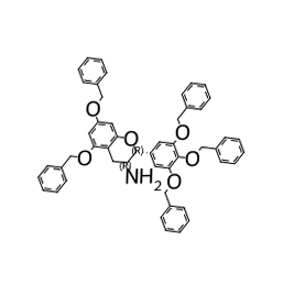 N[C@@H]1Cc2c(OCc3ccccc3)cc(OCc3ccccc3)cc2O[C@@H]1c1cc(OCc2ccccc2)c(OCc2ccccc2)c(OCc2ccccc2)c1